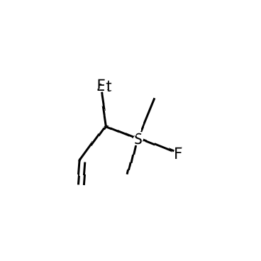 C=CC(CC)S(C)(C)F